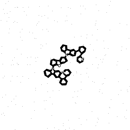 c1ccc(-c2ccccc2-c2ccc3c(c2)c2ccccc2n3-c2ccc3oc4c(-n5c6ccccc6c6cc(-c7ccccc7-c7ccccn7)ccc65)cccc4c3c2)nc1